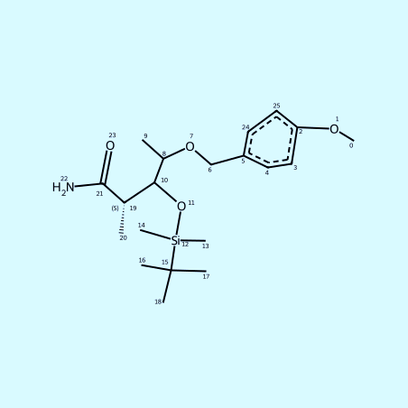 COc1ccc(COC(C)C(O[Si](C)(C)C(C)(C)C)[C@H](C)C(N)=O)cc1